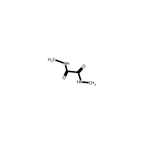 CNC(=O)C(=O)NC